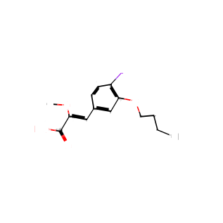 CCCCOc1cc(C=C(OC)C(=O)O)ccc1I